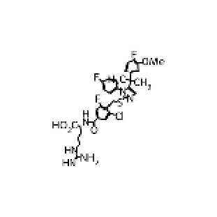 COc1cc(C(C)(C)c2cnc(SCc3c(F)cc(C(=O)NC(CCCNC(=N)N)C(=O)O)cc3Cl)n2-c2ccc(F)cc2)ccc1F